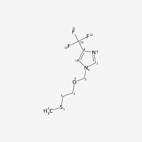 CSCCOCn1cnc(C(F)(F)F)c1